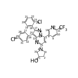 O[C@@H]1CCN(c2cc(-c3ccc(C(F)(F)F)nc3)n3nc(-c4ccccc4Cl)c(-c4ccc(Cl)cc4)c3n2)C1